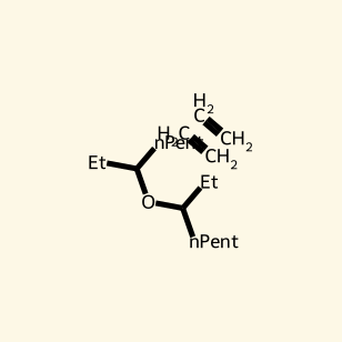 C=C.C=C.CCCCCC(CC)OC(CC)CCCCC